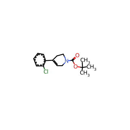 CC(C)(C)OC(=O)N1CC=C(c2ccccc2Cl)CC1